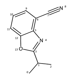 CC(C)c1nc2c(C#N)cccc2o1